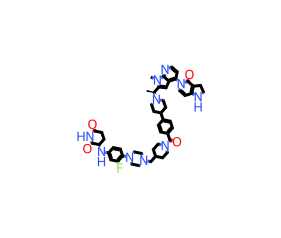 C[C@@H](c1cc2c(-n3ccc4c(c3=O)CCN4)ccnc2n1C)N1CCC(c2ccc(C(=O)N3CCC(CN4CCN(c5ccc(N[C@@H]6CCC(=O)NC6=O)cc5F)CC4)CC3)cc2)CC1